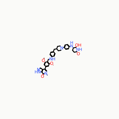 COc1cc(-c2cn(C)c(=O)c3[nH]ncc23)cc(OC)c1CNc1ccc(CC2CCN(c3ccc(NC4CCC(=O)NC4O)cc3)CC2)cc1